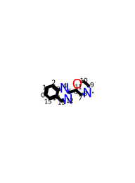 c1ccc2nc(C3C[N]CCO3)ncc2c1